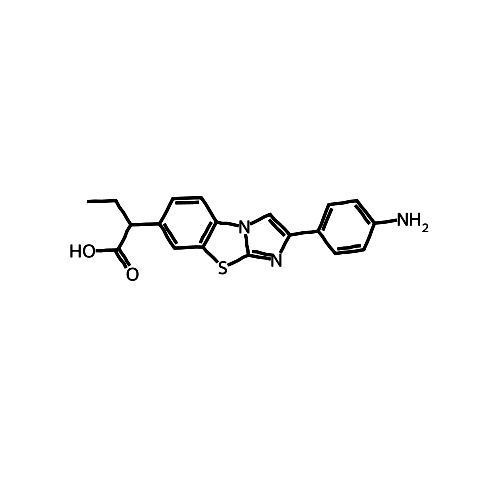 CCC(C(=O)O)c1ccc2c(c1)sc1nc(-c3ccc(N)cc3)cn12